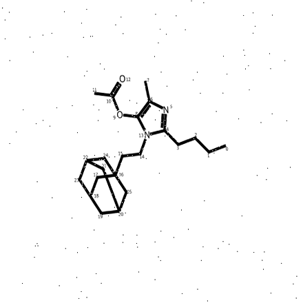 CCCCc1nc(C)c(OC(C)=O)n1CCC12CC3CC(CC(C3)C1)C2